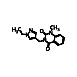 CCn1cc(Cn2c(=O)c3ccccc3n(C)c2=O)cn1